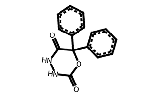 O=C1NNC(=O)C(c2ccccc2)(c2ccccc2)O1